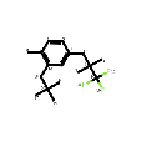 Cc1ccc(CC(C)(C)C(F)(F)F)cc1CC(C)(C)C